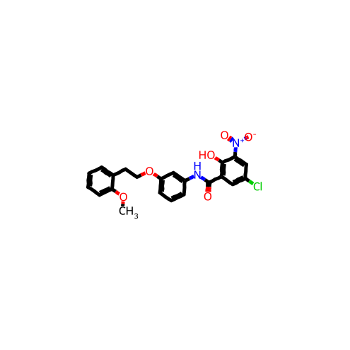 COc1ccccc1CCOc1cccc(NC(=O)c2cc(Cl)cc([N+](=O)[O-])c2O)c1